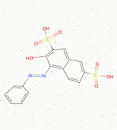 O=S(=O)(O)c1ccc2c(N=Nc3ccccc3)c(O)c(S(=O)(=O)O)cc2c1